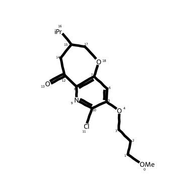 COCCCOc1cc2c(nc1Cl)C(=O)CC(C(C)C)CO2